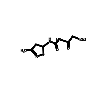 CCCCCCCCCC(=O)NC(=O)NC1CC(C)=NS1